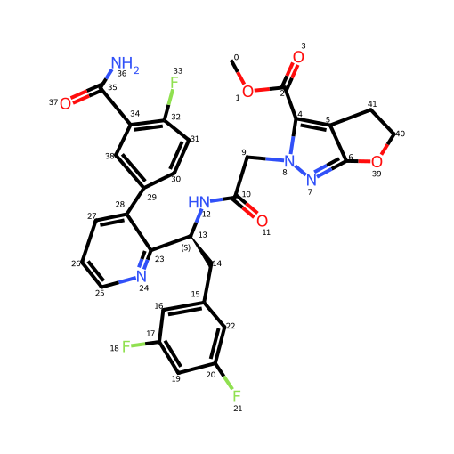 COC(=O)c1c2c(nn1CC(=O)N[C@@H](Cc1cc(F)cc(F)c1)c1ncccc1-c1ccc(F)c(C(N)=O)c1)OCC2